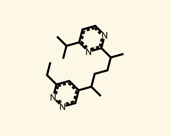 CCc1cc(C(C)CCC(C)c2nccc(C(C)C)n2)cnn1